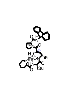 C/C(=C\[C@H](C(C)C)N(C)C(=O)[C@@H](NC(=O)C1CCCCN1C(C)C)C(C)(C)C)C(=O)N1CCC[C@H]1C(=O)NC1c2ccccc2-c2ccccc21